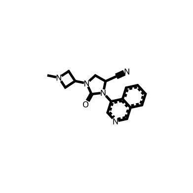 CN1CC(N2CC(C#N)N(c3cncc4ccccc34)C2=O)C1